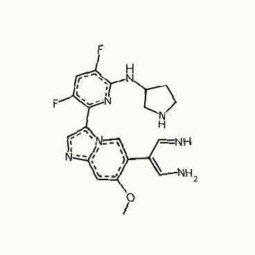 COc1cc2ncc(-c3nc(NC4CCNC4)c(F)cc3F)n2cc1/C(C=N)=C/N